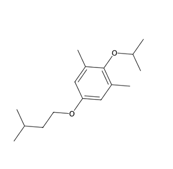 Cc1cc(OCCC(C)C)cc(C)c1OC(C)C